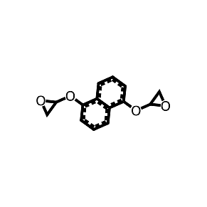 c1cc(OC2CO2)c2cccc(OC3CO3)c2c1